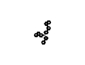 c1ccc(-c2cccc(N(c3ccc(-c4cccc(-c5cccc6ccccc56)c4)cc3)c3ccc4c(ccc5ccccc54)c3)c2)cc1